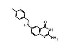 Cc1ccc(CNc2ccc3nc(N)[nH]c(=O)c3c2)cc1